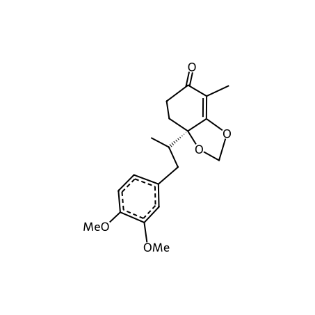 COc1ccc(CC(C)[C@]23CCC(=O)C(C)=C2OCO3)cc1OC